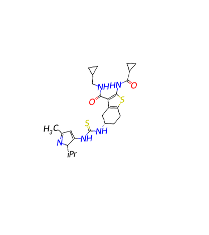 CC1=NC(C(C)C)C(NC(=S)N[C@H]2CCc3sc(NC(=O)C4CC4)c(C(=O)NCC4CC4)c3C2)=C1